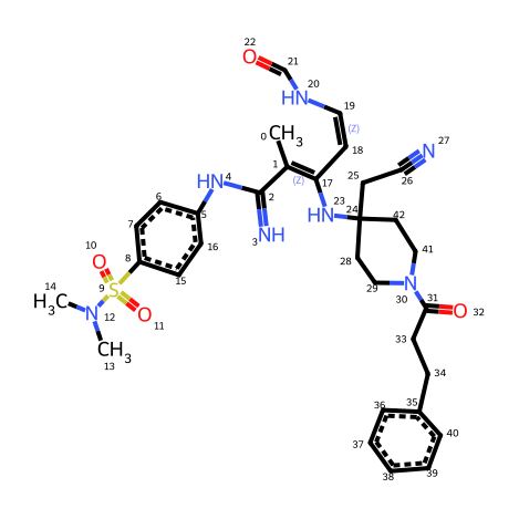 C/C(C(=N)Nc1ccc(S(=O)(=O)N(C)C)cc1)=C(\C=C/NC=O)NC1(CC#N)CCN(C(=O)CCc2ccccc2)CC1